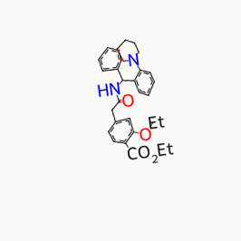 CCOC(=O)c1ccc(CC(=O)NC(c2ccccc2)c2ccccc2N2CCCCC2)cc1OCC